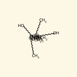 CCCCCCCCCCC[SiH](OC)O[Si](CCCCCCCCCCO)(OC)O[Si](CCCCCCCCCCC)(OC)O[Si](CCCCCCCCCCO)(OC)OC